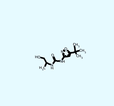 CC(CO)NC(=O)Nc1cc(C(C)(C)C)on1